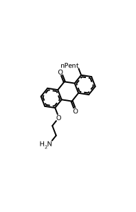 CCCCCc1cccc2c1C(=O)c1cccc(OCCN)c1C2=O